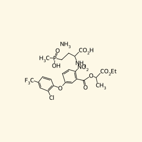 CCOC(=O)C(C)OC(=O)c1cc(Oc2ccc(C(F)(F)F)cc2Cl)ccc1[N+](=O)[O-].CP(=O)(O)CCC(N)C(=O)O.N